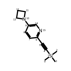 C[Si](C)(C)C#Cc1ccc(N2CCC2)cn1